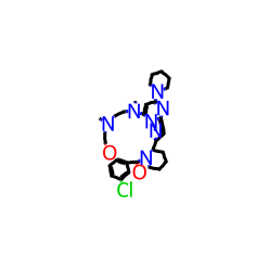 CN1CCOc2ccc(Cl)cc2C(=O)N2CCCCC2c2cc3nc(N4CCCCC4)cc(n3n2)N(C)CC1